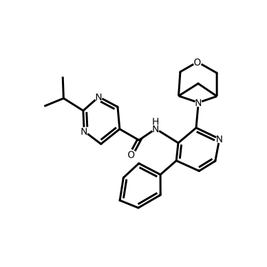 CC(C)c1ncc(C(=O)Nc2c(-c3ccccc3)ccnc2N2C3COCC2C3)cn1